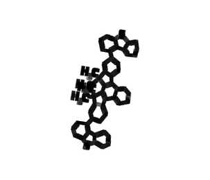 CC1(C)c2cc(-c3cccc4sc5ccccc5c34)ccc2-c2c1c1c(c3ccccc23)-c2ccc(-c3cccc4sc5ccccc5c34)cc2C1(C)C